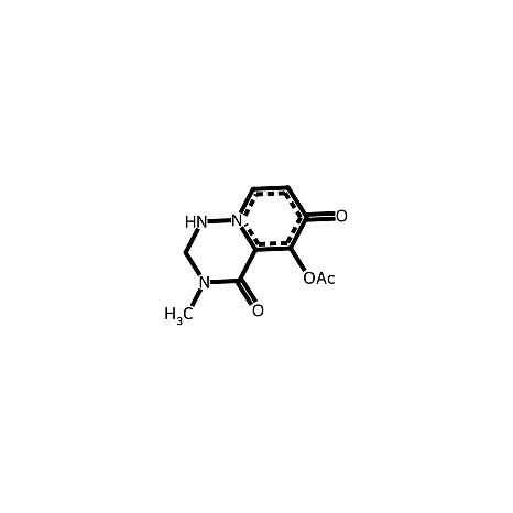 CC(=O)Oc1c2n(ccc1=O)NCN(C)C2=O